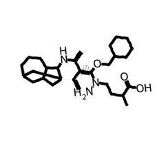 C=C/C(C(=C)NC1C2CC3CCCC1C(C3)C2)=C(/OCC1CCCCC1)N(N)CCC(C)C(=O)O